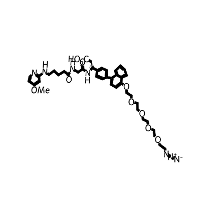 COc1ccnc(NCCCCC(=O)NCC(=O)N[C@@H](CC(=O)O)c2ccc(-c3ccc(OCCOCCOCCOCCOCCN=[N+]=[N-])c4ccccc34)cc2)c1